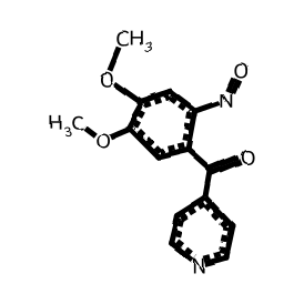 COc1cc(N=O)c(C(=O)c2ccncc2)cc1OC